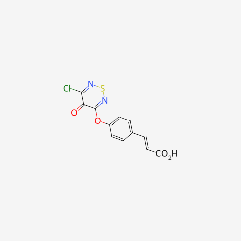 O=C(O)/C=C/c1ccc(Oc2nsnc(Cl)c2=O)cc1